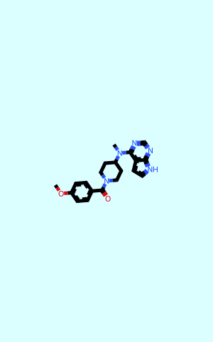 COc1ccc(C(=O)N2CCC(N(C)c3ncnc4[nH]ccc34)CC2)cc1